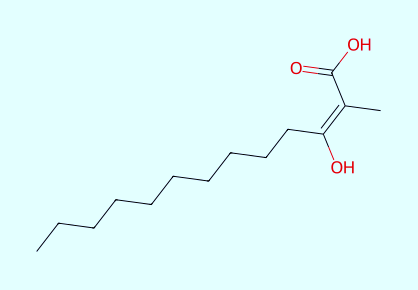 CCCCCCCCCC/C(O)=C(/C)C(=O)O